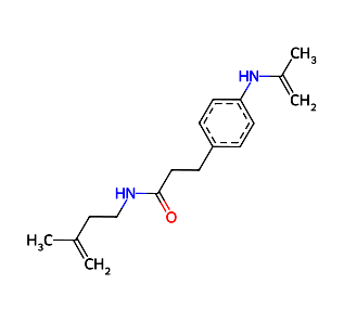 C=C(C)CCNC(=O)CCc1ccc(NC(=C)C)cc1